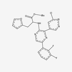 CC(C)(C)OC(=O)C(Cc1ccco1)Nc1ncc(-c2cccc(F)c2F)nc1-c1cnnc(Cl)c1